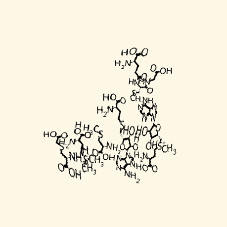 CSC[C@H](N)C(=O)O.CSC[C@H](NC(=O)CC[C@H](N)C(=O)O)C(=O)NCC(=O)O.C[S+](CC[C@H](N)C(=O)O)C[C@H]1O[C@@H](n2cnc3c(N)ncnc32)[C@H](O)[C@@H]1O.C[SH](C)CC[C@H](N)C(=O)O.N[C@@H](CSCC(=O)O)C(=O)O.Nc1ncnc2c1ncn2[C@@H]1O[C@H](CSCC[C@H](N)C(=O)O)[C@@H](O)[C@H]1O